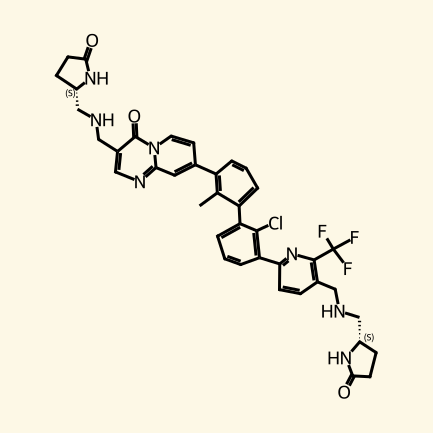 Cc1c(-c2ccn3c(=O)c(CNC[C@@H]4CCC(=O)N4)cnc3c2)cccc1-c1cccc(-c2ccc(CNC[C@@H]3CCC(=O)N3)c(C(F)(F)F)n2)c1Cl